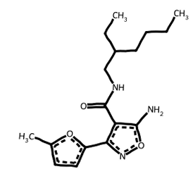 CCCCC(CC)CNC(=O)c1c(-c2ccc(C)o2)noc1N